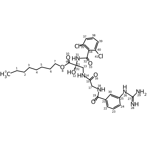 CCCCCCCCOC(=O)[C@@](O)(CNC(=O)CNC(=O)c1cccc(NC(=N)N)c1)NC(=O)c1c(Cl)cccc1Cl